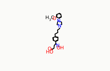 COc1ccccc1N1CCN(CCCCc2ccc(C(CCC(=O)O)=NO)cc2)CC1